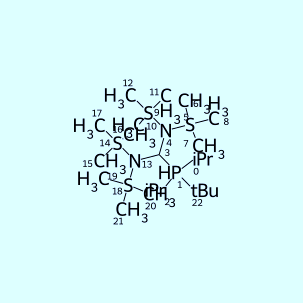 CC(C)[PH](C(C)C)(C(N(S(C)(C)C)S(C)(C)C)N(S(C)(C)C)S(C)(C)C)C(C)(C)C